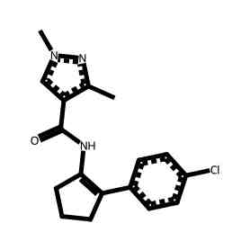 Cc1nn(C)cc1C(=O)NC1=C(c2ccc(Cl)cc2)CCC1